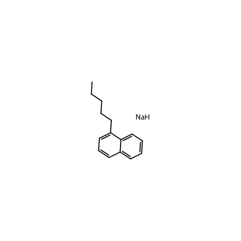 CCCCCc1cccc2ccccc12.[NaH]